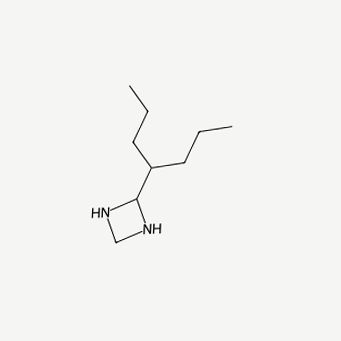 CCCC(CCC)C1NCN1